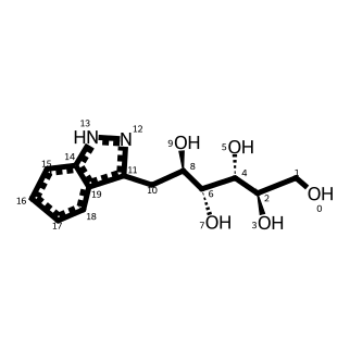 OC[C@@H](O)[C@@H](O)[C@H](O)[C@H](O)Cc1n[nH]c2ccccc12